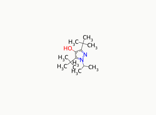 CC(C)n1nc(C(C)(C)C)c(O)c1C(C)(C)C